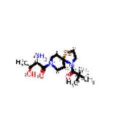 C[C@@H](O)[C@H](N)C(=O)N1CCC2(CC1)SCCN2C(=O)C(C)(C)C